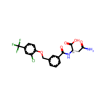 NC(=O)C[C@H](NC(=O)c1cccc(COc2ccc(C(F)(F)F)cc2Cl)c1)C(=O)O